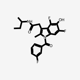 CCC(C)NC(=O)Cc1c(C)n(C(=O)c2cccc(F)c2)c2cc(F)c(O)c(F)c12